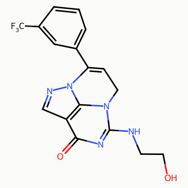 O=c1nc(NCCO)n2c3c1cnn3C(c1cccc(C(F)(F)F)c1)=CC2